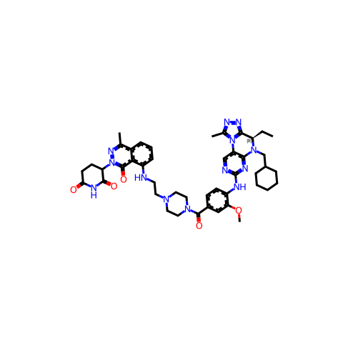 CC[C@@H]1c2nnc(C)n2-c2cnc(Nc3ccc(C(=O)N4CCN(CCNc5cccc6c(C)nn(C7CCC(=O)NC7=O)c(=O)c56)CC4)cc3OC)nc2N1CC1CCCCC1